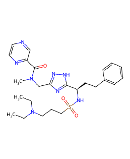 CCN(CC)CCCS(=O)(=O)N[C@H](CCc1ccccc1)c1nc(CN(C)C(=O)c2cnccn2)n[nH]1